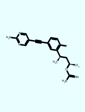 C[C@H](C[C@H](OC(=N)N)C(F)(F)F)c1cc(C#Cc2cnc(N)nc2)ccc1F